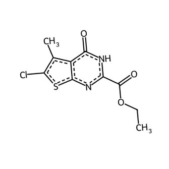 CCOC(=O)c1nc2sc(Cl)c(C)c2c(=O)[nH]1